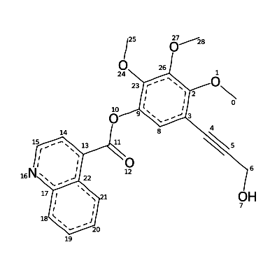 COc1c(C#CCO)cc(OC(=O)c2ccnc3ccccc23)c(OC)c1OC